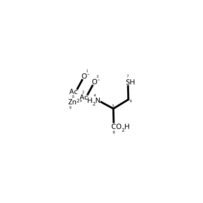 CC(=O)[O-].CC(=O)[O-].NC(CS)C(=O)O.[Zn+2]